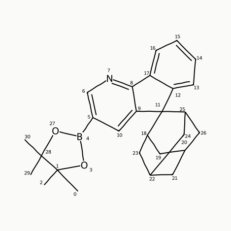 CC1(C)OB(c2cnc3c(c2)C2(c4ccccc4-3)C3CC4CC(C3)CC2C4)OC1(C)C